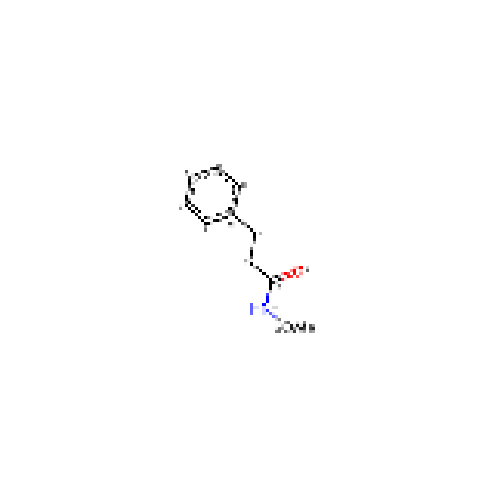 CONC(=O)CCc1ccccc1